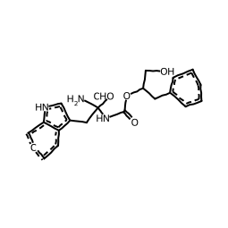 NC(C=O)(Cc1c[nH]c2ccccc12)NC(=O)OC(CO)Cc1ccccc1